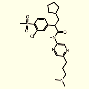 CN(C)CCCc1cnc(NC(=O)[C@H](CC2CCCC2)c2ccc(S(C)(=O)=O)c(Cl)c2)cn1